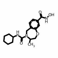 CC1COc2cc(C(=O)NO)ccc2CN1C(=O)NC1CCCCC1